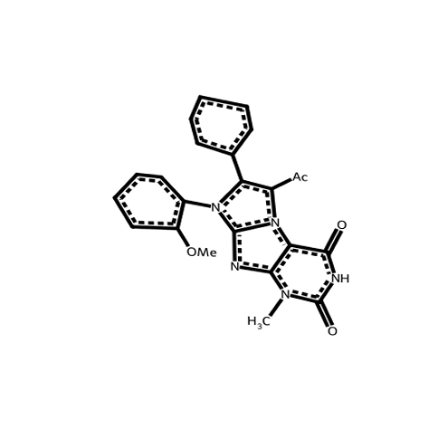 COc1ccccc1-n1c(-c2ccccc2)c(C(C)=O)n2c3c(=O)[nH]c(=O)n(C)c3nc12